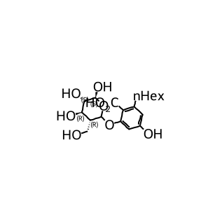 CCCCCCc1cc(O)cc(OC2O[C@H](O)[C@@H](O)[C@H](O)[C@H]2CO)c1C(=O)O